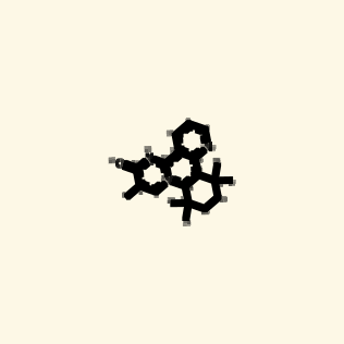 Cc1cn2c3c(c4ncccc4c2nc1=O)C(C)(C)CCC3(C)C